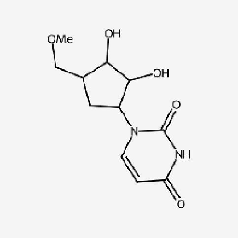 COCC1CC(n2ccc(=O)[nH]c2=O)C(O)C1O